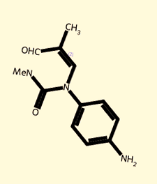 CNC(=O)N(/C=C(/C)C=O)c1ccc(N)cc1